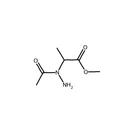 COC(=O)C(C)N(N)C(C)=O